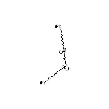 CC(C)CCCCCCCCCCCCOC(=O)CCCSCCCC(=O)OCCCCCCCCCCCCC(C)C